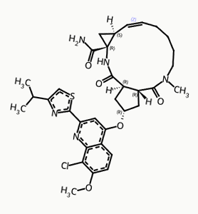 COc1ccc2c(O[C@@H]3C[C@H]4C(=O)N[C@]5(C(N)=O)C[C@H]5/C=C\CCCCN(C)C(=O)[C@@H]4C3)cc(-c3nc(C(C)C)cs3)nc2c1Cl